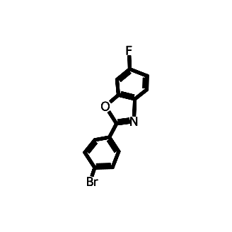 Fc1ccc2nc(-c3ccc(Br)cc3)oc2c1